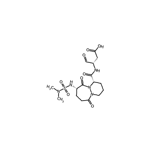 CN(C)S(=O)(=O)N[C@H]1CCC(=O)N2CCC[C@@H](C(=O)N[C@H](C=O)CC(=O)O)N2C1=O